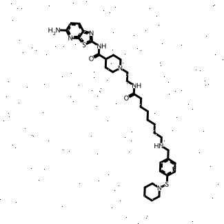 Nc1ccc2nc(NC(=O)C3CCN(CCNC(=O)CCCCCCCNCc4ccc(SN5CCCCC5)cc4)CC3)sc2n1